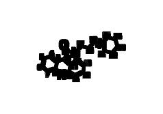 O=C1c2c3ccccc3nc3cccc(c23)N1CCCN1CCCCC1